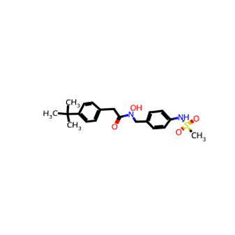 CC(C)(C)c1ccc(CC(=O)N(O)Cc2ccc(NS(C)(=O)=O)cc2)cc1